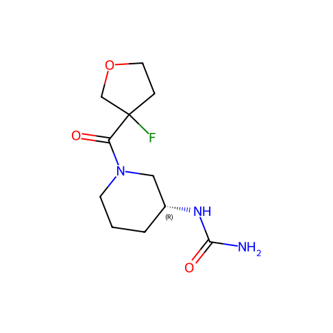 NC(=O)N[C@@H]1CCCN(C(=O)C2(F)CCOC2)C1